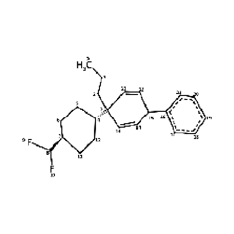 CCCC1([C@H]2CC[C@H](C(F)F)CC2)C=CC(c2ccccc2)C=C1